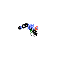 Cc1c(C2(C#N)CC2)ccc(Nc2nc(Nc3ccc4c(c3)CC[C@@H](N3CCCC3)CC4)ncc2Cl)c1P(C)(C)=O